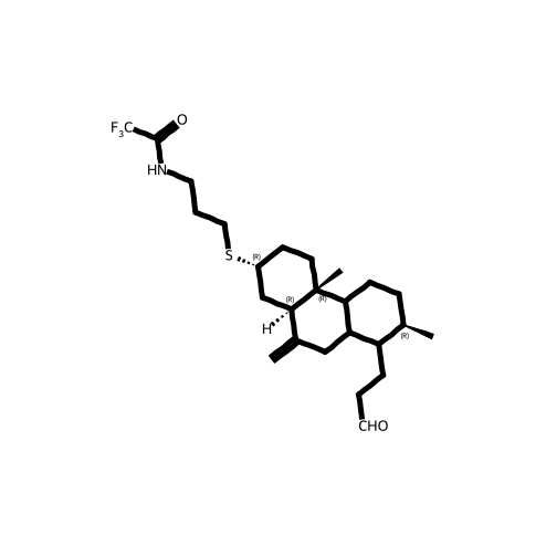 C=C1CC2C(CCC=O)[C@H](C)CCC2[C@@]2(C)CC[C@@H](SCCCNC(=O)C(F)(F)F)C[C@H]12